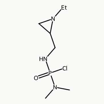 CCN1CC1CNP(=O)(Cl)N(C)C